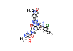 CCc1c(N2CCN(C(=O)c3ncnc(C)c3O)CC2)c(=O)n2nc(-c3ccc4c(c3)CC(=O)N4C)nc2n1CC(=O)Nc1ccc(C(F)(F)F)cc1Cl